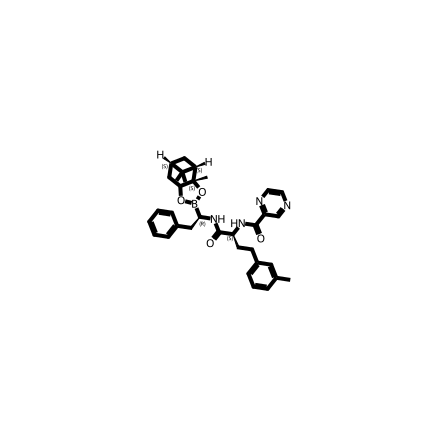 Cc1cccc(CC[C@H](NC(=O)c2cnccn2)C(=O)N[C@@H](Cc2ccccc2)B2OC3C[C@@H]4C[C@@H](C4(C)C)[C@]3(C)O2)c1